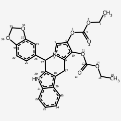 CCOC(=O)Oc1cn2c(c1OC(=O)OCC)Cc1c([nH]c3ccccc13)C2c1ccc2c(c1)OCO2